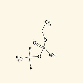 CCCP(=O)(OCC(F)(F)F)OC(F)(F)C(F)(F)F